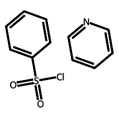 O=S(=O)(Cl)c1ccccc1.c1ccncc1